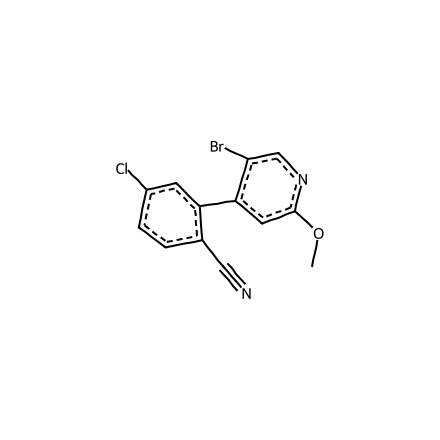 COc1cc(-c2cc(Cl)ccc2C#N)c(Br)cn1